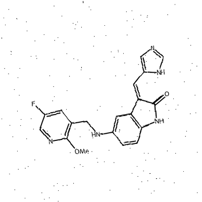 COc1ncc(F)cc1CNc1ccc2c(c1)C(=Cc1cnc[nH]1)C(=O)N2